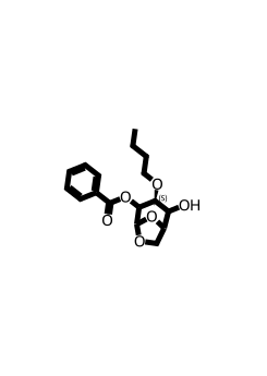 CCCCO[C@H]1C(O)C2COC(O2)C1OC(=O)c1ccccc1